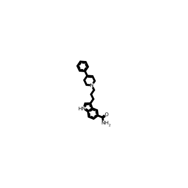 NC(=O)c1ccc2[nH]cc(CCCN3CC=C(c4ccccc4)CC3)c2c1